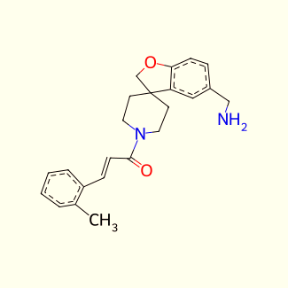 Cc1ccccc1C=CC(=O)N1CCC2(CC1)COc1ccc(CN)cc12